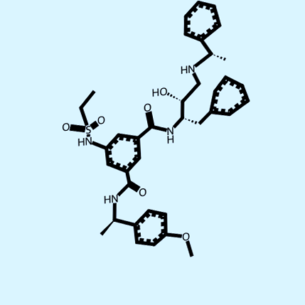 CCS(=O)(=O)Nc1cc(C(=O)N[C@@H](Cc2ccccc2)[C@H](O)CN[C@@H](C)c2ccccc2)cc(C(=O)N[C@H](C)c2ccc(OC)cc2)c1